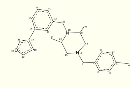 Cc1ccc(CN2CC(C)N(Cc3cccc(-c4ccoc4)c3)C(C)C2)cc1